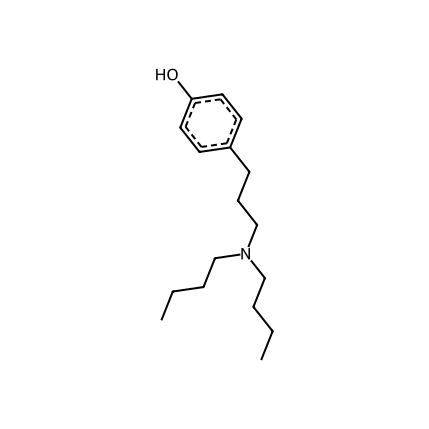 CCCCN(CCCC)CCCc1ccc(O)cc1